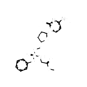 COC(=O)CNP(=O)(OC[C@@H]1C[C@H](C)[C@H](n2ccc(N)nc2=O)O1)Oc1ccccc1